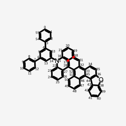 c1ccc(-c2cc(-c3ccccc3)cc(N(c3ccccc3)c3ccccc3-c3cccc4c5ccc6oc7ccccc7c6c5c5ccccc5c34)c2)cc1